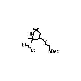 CCCCCCCCCCCCOC1CC(C)(C)NC(C)(C)C1.CCOCC